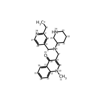 CCc1cc(CN(Cc2cn(C)c3ccccc3c2=O)C2CCCNC2)ccn1